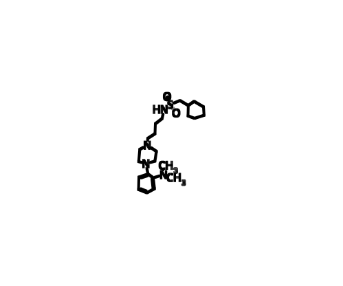 CN(C)c1ccccc1N1CCN(CCCCNS(=O)(=O)CC2CCCCC2)CC1